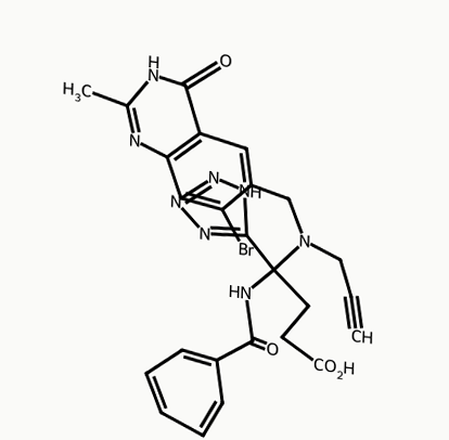 C#CCN(Cc1cc2c(=O)[nH]c(C)nc2cc1Br)C(CCC(=O)O)(NC(=O)c1ccccc1)c1nnn[nH]1